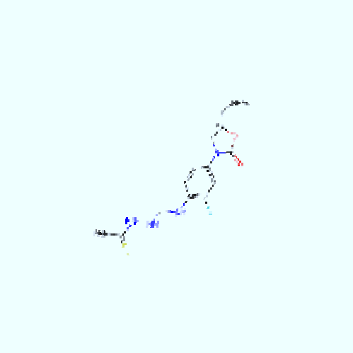 CNC(=S)NNCNc1ccc(N2C[C@H](CNC(C)=O)OC2=O)cc1F